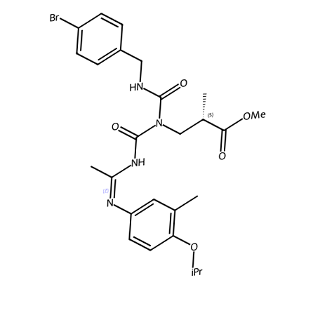 COC(=O)[C@@H](C)CN(C(=O)NCc1ccc(Br)cc1)C(=O)N/C(C)=N\c1ccc(OC(C)C)c(C)c1